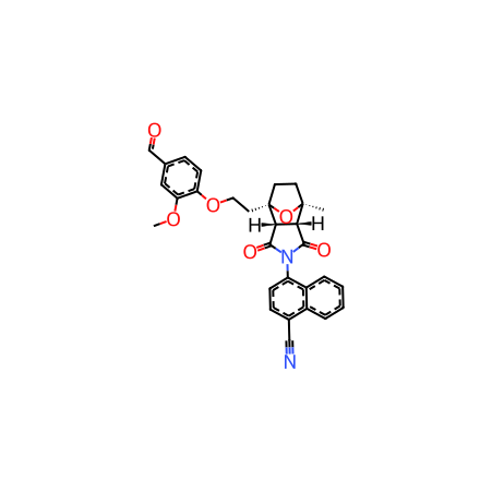 COc1cc(C=O)ccc1OCC[C@]12CC[C@](C)(O1)[C@@H]1C(=O)N(c3ccc(C#N)c4ccccc34)C(=O)[C@@H]12